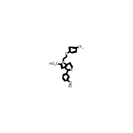 CCOc1cccc(-c2nccc3c2cc(C(=O)O)n3CCOc2ccc(C(F)(F)F)cc2)c1